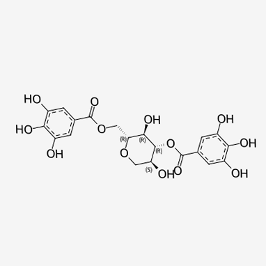 O=C(OC[C@H]1OC[C@H](O)[C@@H](OC(=O)c2cc(O)c(O)c(O)c2)[C@@H]1O)c1cc(O)c(O)c(O)c1